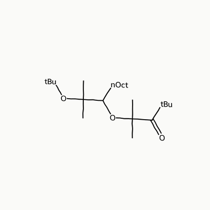 CCCCCCCCC(OC(C)(C)C(=O)C(C)(C)C)C(C)(C)OC(C)(C)C